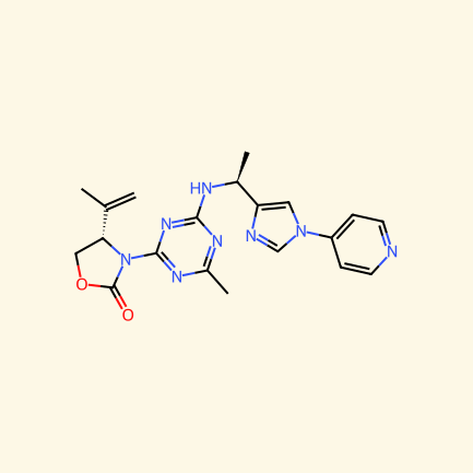 C=C(C)[C@H]1COC(=O)N1c1nc(C)nc(N[C@@H](C)c2cn(-c3ccncc3)cn2)n1